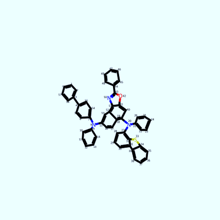 c1ccc(-c2ccc(N(c3ccccc3)c3ccc4c(N(c5ccccc5)c5cccc6c5sc5ccccc56)cc5oc(-c6ccccc6)nc5c4c3)cc2)cc1